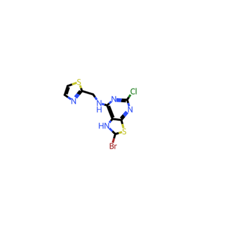 Clc1nc(NCc2nccs2)c2c(n1)SC(Br)N2